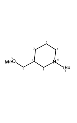 COCC1CCCN(C(C)(C)C)C1